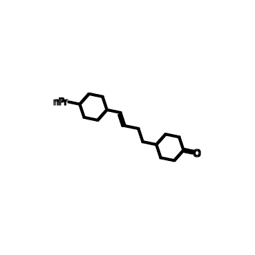 CCCC1CCC(/C=C/CCC2CCC(=O)CC2)CC1